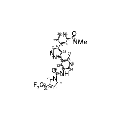 CNC(=O)c1cc(-c2cnnc(-c3cc(NC(=O)N4CCC(CC(F)(F)F)C4)cnc3C)c2)ccn1